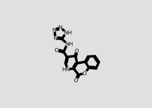 O=C(Nc1nnn[nH]1)c1c[nH]c2c(=O)oc3ccccc3c2c1=O